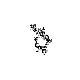 C=CS(=O)(=O)N1CC[C@H](C(=O)N(C)[C@H](C(=O)N[C@H]2Cc3nc(cs3)-c3ccc4c(c3)c(c(-c3cncnc3)n4CC)CC(C)(C)COC(=O)[C@@]3(O)CCCN(N3)C2=O)C(C)C)C1